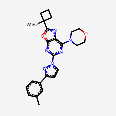 COC1(c2nc3c(N4CCOCC4)nc(-n4ccc(-c5cccc(C)c5)n4)nc3o2)CCC1